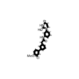 COc1ccc(-c2cccc(CC(=O)Nc3cccc(N4C=CC(=O)NC4O)c3)c2)cc1Cl